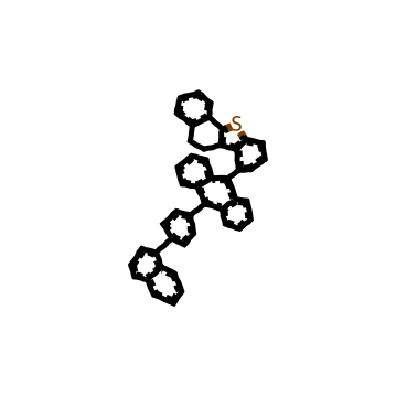 c1ccc2c(c1)CCc1c-2sc2cccc(-c3c4ccccc4c(-c4ccc(-c5cccc6ccccc56)cc4)c4ccccc34)c12